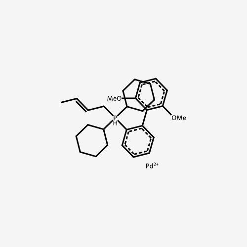 CC=CC[PH](c1ccccc1-c1c(OC)cccc1OC)(C1CCCCC1)C1CCCCC1.[Pd+2]